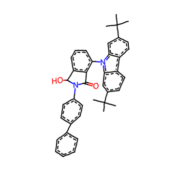 CC(C)(C)c1ccc2c3ccc(C(C)(C)C)cc3n(-c3cccc4c3C(=O)N(c3ccc(-c5ccccc5)cc3)C4O)c2c1